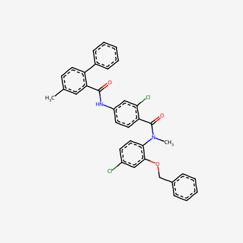 Cc1ccc(-c2ccccc2)c(C(=O)Nc2ccc(C(=O)N(C)c3ccc(Cl)cc3OCc3ccccc3)c(Cl)c2)c1